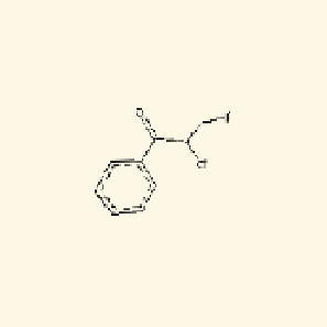 O=C(c1ccccc1)C(Cl)CF